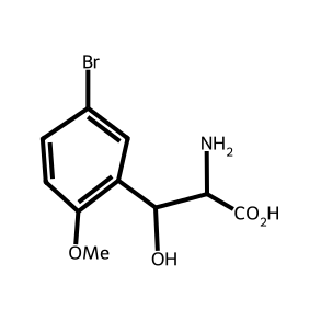 COc1ccc(Br)cc1C(O)C(N)C(=O)O